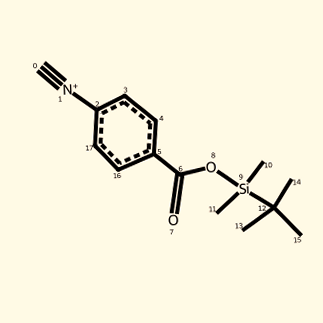 C#[N+]c1ccc(C(=O)O[Si](C)(C)C(C)(C)C)cc1